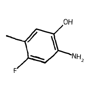 Cc1cc(O)c(N)cc1F